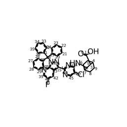 O=C(O)C1C2CCC(CC2)C1Nc1nc(-c2nn(C(c3ccccc3)(c3ccccc3)c3ccccc3)c3ncc(F)cc23)ncc1Cl